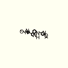 COCCn1cc(-c2ccnc3c(NCc4ccc(OC(C)C)nc4)cccc23)cn1